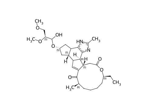 CC[C@H]1CCCC[C@@H](C)C(=O)C2=CC3[C@@H]4C[C@H](OC(O)[C@H](COC)OC)CC4c4[nH]c(C)nc4[C@H]3[C@@H]2CC(=O)O1